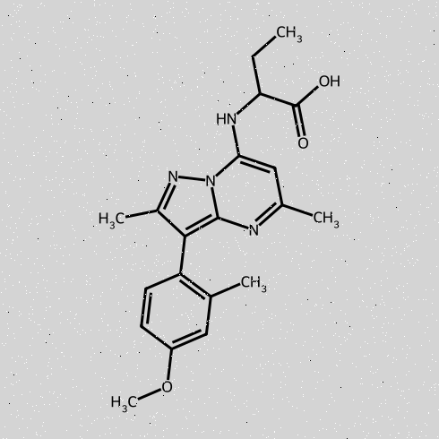 CCC(Nc1cc(C)nc2c(-c3ccc(OC)cc3C)c(C)nn12)C(=O)O